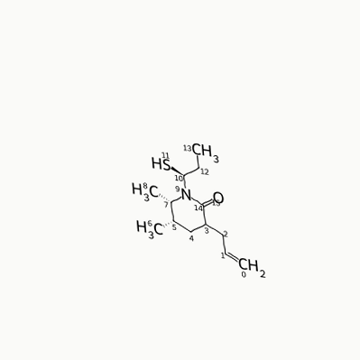 C=CCC1C[C@H](C)[C@H](C)N([C@@H](S)CC)C1=O